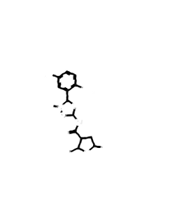 Cc1ccc(C)c(C2OC(NC(=O)C3CC(Cl)SC3Cl)NN2C)c1